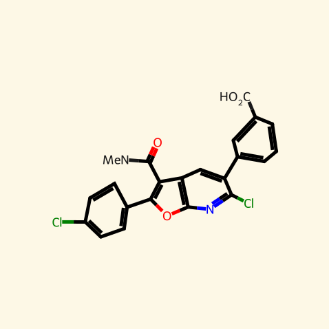 CNC(=O)c1c(-c2ccc(Cl)cc2)oc2nc(Cl)c(-c3cccc(C(=O)O)c3)cc12